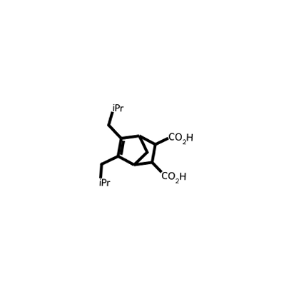 CC(C)CC1=C(CC(C)C)C2CC1C(C(=O)O)C2C(=O)O